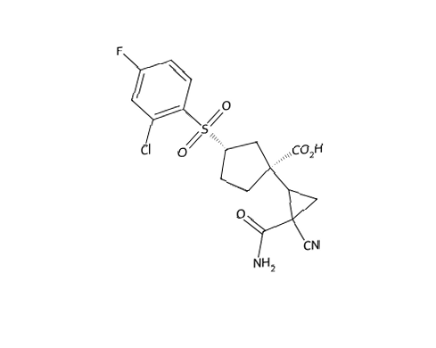 N#CC1(C(N)=O)CC1[C@@]1(C(=O)O)CC[C@H](S(=O)(=O)c2ccc(F)cc2Cl)C1